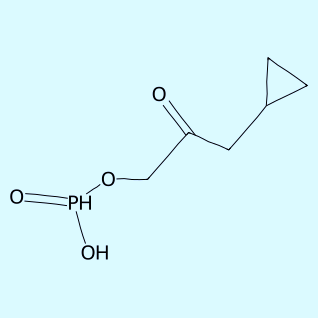 O=C(CO[PH](=O)O)CC1CC1